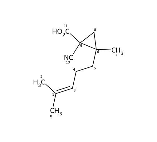 CC(C)=CCCC1(C)CC1(C#N)C(=O)O